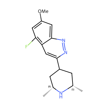 COc1cc(F)c2cc(C3C[C@@H](C)N[C@@H](C)C3)nnc2c1